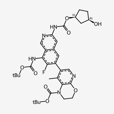 Cc1c(-c2cc3cc(NC(=O)O[C@H]4CC[C@@H](O)C4)ncc3c(NC(=O)OC(C)(C)C)c2F)cnc2c1N(C(=O)OC(C)(C)C)CCO2